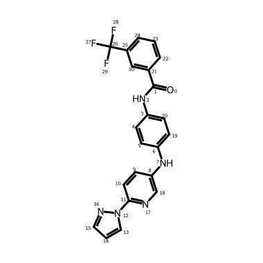 O=C(Nc1ccc(Nc2ccc(-n3cccn3)nc2)cc1)c1cccc(C(F)(F)F)c1